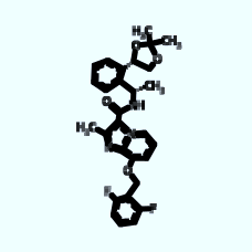 Cc1nc2c(OCc3c(F)cccc3F)cccn2c1C(=O)N[C@@H](C)c1ccccc1[C@H]1COC(C)(C)O1